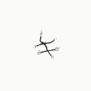 FC(F)(F)C(Cl)(Cl)Cl